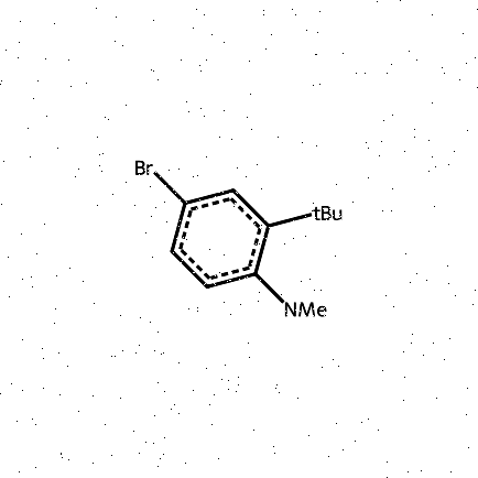 CNc1ccc(Br)cc1C(C)(C)C